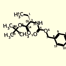 CC[C@H](NC(=O)OCc1ccccc1)C(=O)OC(C)(C)C